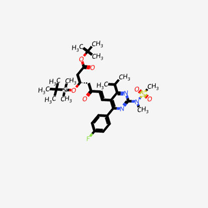 CC(C)c1nc(N(C)S(C)(=O)=O)nc(-c2ccc(F)cc2)c1/C=C/C(=O)C[C@@H](CC(=O)OC(C)(C)C)O[Si](C)(C)C(C)(C)C